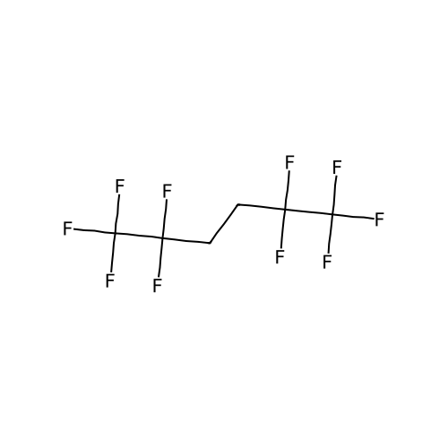 FC(F)(F)C(F)(F)CCC(F)(F)C(F)(F)F